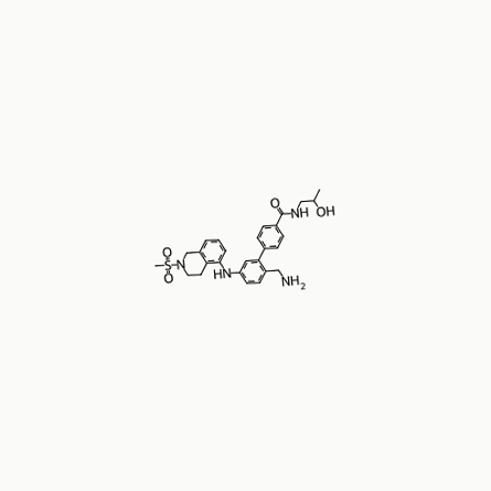 CC(O)CNC(=O)c1ccc(-c2cc(Nc3cccc4c3CCN(S(C)(=O)=O)C4)ccc2CN)cc1